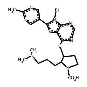 CCn1c(-c2cnc(C)nc2)nc2c(OC3CCN(C(=O)O)C3CCCN(C)C)ncnc21